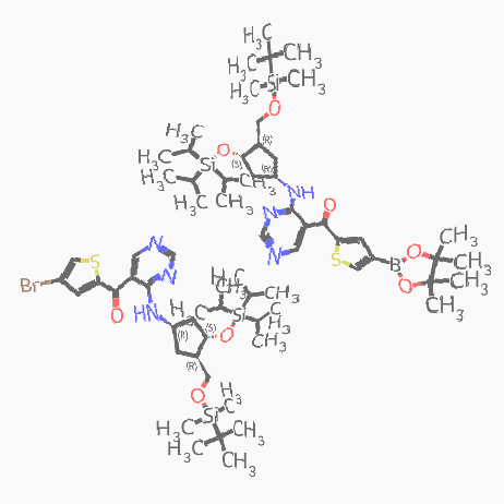 CC(C)[Si](O[C@H]1C[C@H](Nc2ncncc2C(=O)c2cc(B3OC(C)(C)C(C)(C)O3)cs2)C[C@@H]1CO[Si](C)(C)C(C)(C)C)(C(C)C)C(C)C.CC(C)[Si](O[C@H]1C[C@H](Nc2ncncc2C(=O)c2cc(Br)cs2)C[C@@H]1CO[Si](C)(C)C(C)(C)C)(C(C)C)C(C)C